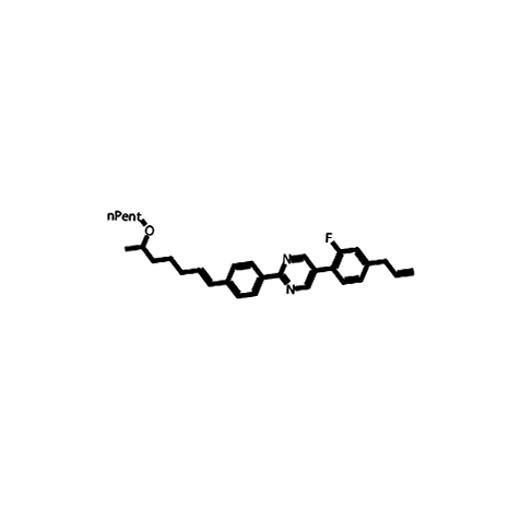 C=CCc1ccc(-c2cnc(-c3ccc(C=CCCCC(C)OCCCCC)cc3)nc2)c(F)c1